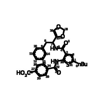 CCCCc1cc(C(=O)NC(Cc2ccccc2)C2=COCO2)c(NC(=O)c2ccc(C(=O)O)cc2)s1